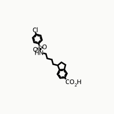 O=C(O)c1ccc2c(c1)CCC2CCCCNS(=O)(=O)c1ccc(Cl)cc1